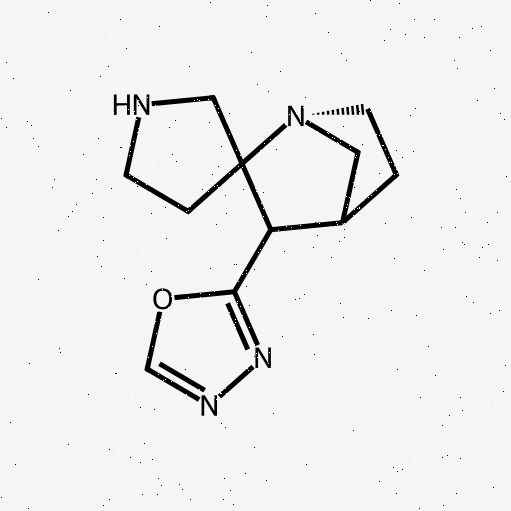 c1nnc(C2C3CC[N@](C3)C23CCNC3)o1